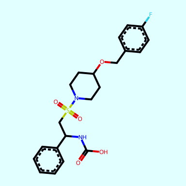 O=C(O)NC(CS(=O)(=O)N1CCC(OCc2ccc(F)cc2)CC1)c1ccccc1